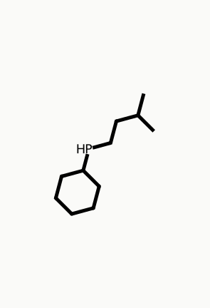 CC(C)CCPC1CCCCC1